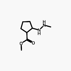 CNNC1CCCC1C(=O)OC